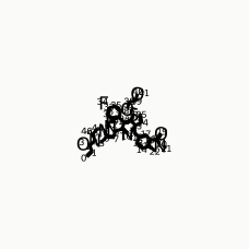 C=CC(=O)N1Cc2cc(-c3nc(-c4ccc5c(c4)C(=O)N(C)C5)c4ccsc4c3-c3c(F)cc(F)cc3OCCOC)nn2C[C@H]1C